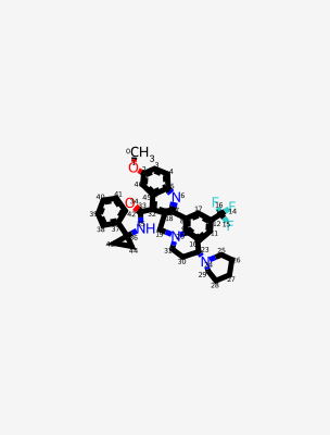 COc1ccc2nc(-c3cccc(C(F)(F)F)c3)c(CN3CCC(N4CCCCC4)CC3)c(C(=O)NC3(c4ccccc4)CC3)c2c1